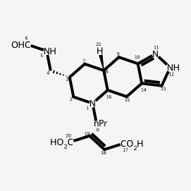 CCCN1C[C@H](CNC=O)C[C@@H]2Cc3n[nH]cc3CC21.O=C(O)/C=C/C(=O)O